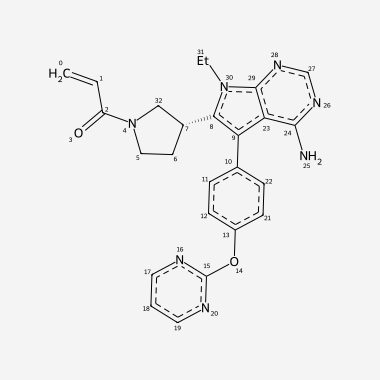 C=CC(=O)N1CC[C@@H](c2c(-c3ccc(Oc4ncccn4)cc3)c3c(N)ncnc3n2CC)C1